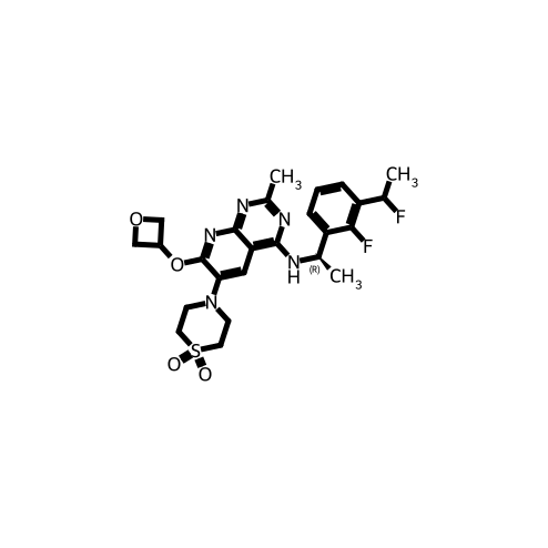 Cc1nc(N[C@H](C)c2cccc(C(C)F)c2F)c2cc(N3CCS(=O)(=O)CC3)c(OC3COC3)nc2n1